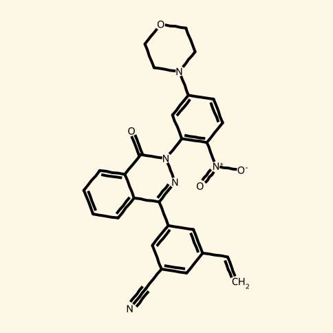 C=Cc1cc(C#N)cc(-c2nn(-c3cc(N4CCOCC4)ccc3[N+](=O)[O-])c(=O)c3ccccc23)c1